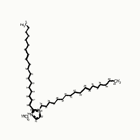 CCCCCCCCCCCCCCCCCCCc1nccn1CCCCCCCCCCCCCCCCCC.Cl